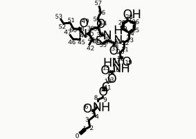 C#CCCCC(=O)NCCOCCOC(=O)NNC(=O)CCC(Cc1ccc(O)cc1)NC(=O)c1csc(C(CC(C(C)C)N(CCC)C(=O)CCCC)OCCC)n1